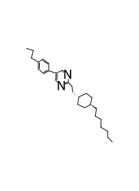 CCCCCCC[C@H]1CC[C@H](CCc2ncc(-c3ccc(CCC)cc3)cn2)CC1